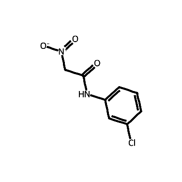 O=C(C[N+](=O)[O-])Nc1cccc(Cl)c1